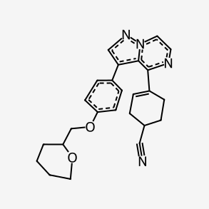 N#CC1CC=C(c2nccn3ncc(-c4ccc(OCC5CCCCO5)cc4)c23)CC1